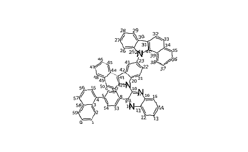 c1ccc2c(-c3ccc(-c4nc5ccccc5nc4-n4c5ccc(-n6c7ccccc7c7ccc8ccccc8c76)cc5c5c6ccccc6ccc54)cc3)cccc2c1